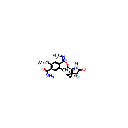 C/N=C(/OC[C@H]1NC(=O)[C@H](F)C12CC2)c1cc(OC)c(C(N)=O)cc1C